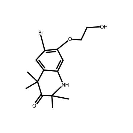 CC1(C)Nc2cc(OCCO)c(Br)cc2C(C)(C)C1=O